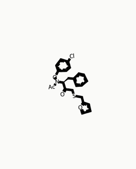 CC(=O)N(Oc1ccc(Cl)cc1)[C@@H](Cc1ccccc1)C(=O)CSCc1ccco1